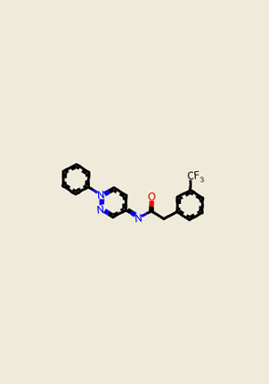 O=C(Cc1cccc(C(F)(F)F)c1)N=c1ccn(-c2ccccc2)nc1